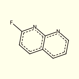 Fc1ccc2cccnc2n1